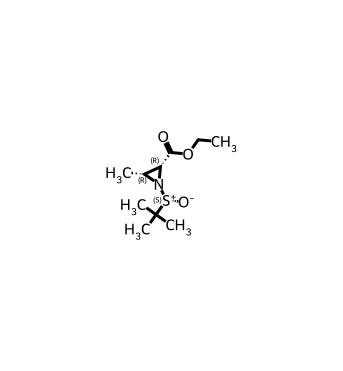 CCOC(=O)[C@H]1[C@@H](C)N1[S@+]([O-])C(C)(C)C